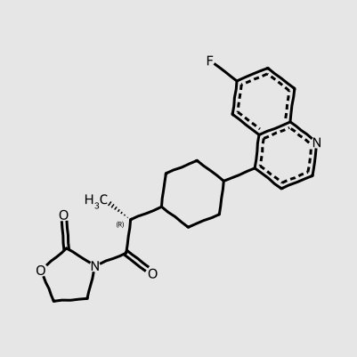 C[C@@H](C(=O)N1CCOC1=O)C1CCC(c2ccnc3ccc(F)cc23)CC1